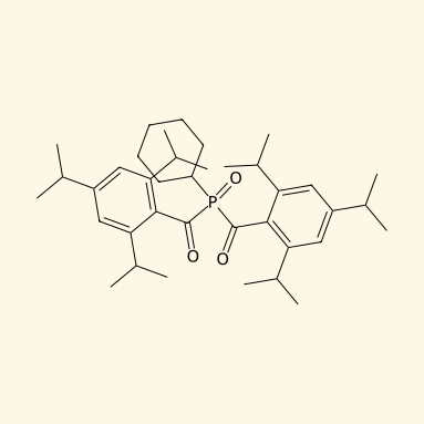 CC(C)c1cc(C(C)C)c(C(=O)P(=O)(C(=O)c2c(C(C)C)cc(C(C)C)cc2C(C)C)C2CCCCC2)c(C(C)C)c1